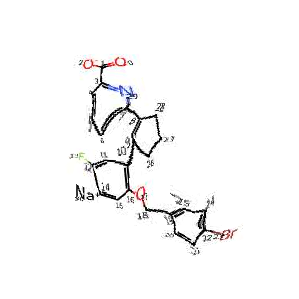 O=C([O-])c1cccc(C2=C(c3cc(F)ccc3OCc3ccc(Br)cc3)CCC2)n1.[Na+]